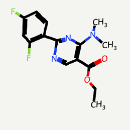 CCOC(=O)c1cnc(-c2ccc(F)cc2F)nc1N(C)C